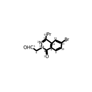 CC(C)c1nn([CH]C=O)c(=O)c2ccc(Br)cc12